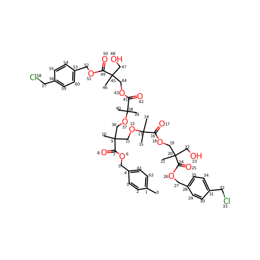 Cc1ccc(COC(=O)C(C)(COC(C)(C)C(=O)OCC(C)(CO)C(=O)OCc2ccc(CCl)cc2)COC(C)(C)C(=O)OCC(C)(CO)C(=O)OCc2ccc(CCl)cc2)cc1